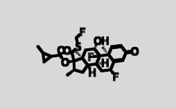 CC1CC1C(=O)O[C@]1(C(=O)SCF)[C@H](C)C[C@H]2[C@@H]3C[C@H](F)C4=CC(=O)C=C[C@]4(C)C3(F)[C@@H](O)C[C@@]21C